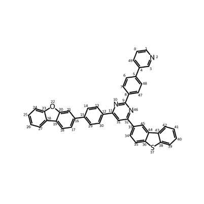 c1cncc(-c2ccc(-c3nc(-c4ccc(-c5ccc6c(c5)oc5ccccc56)cc4)cc(-c4ccc5sc6ccccc6c5c4)n3)cc2)c1